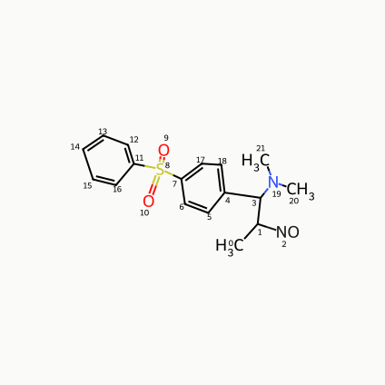 CC(N=O)C(c1ccc(S(=O)(=O)c2ccccc2)cc1)N(C)C